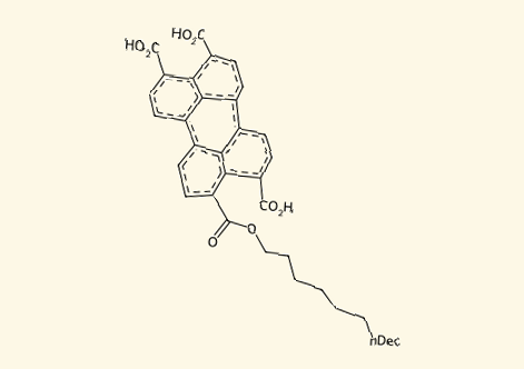 CCCCCCCCCCCCCCCCOC(=O)c1ccc2c3ccc(C(=O)O)c4c(C(=O)O)ccc(c5ccc(C(=O)O)c1c52)c43